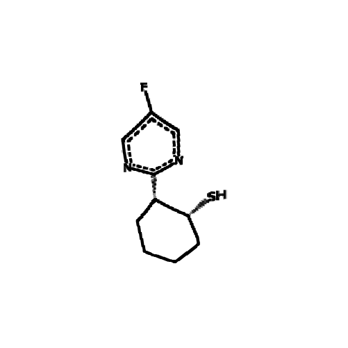 Fc1cnc([C@H]2CCCC[C@H]2S)nc1